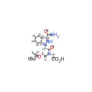 C[C@H](CO[Si](C)(C)C(C)(C)C)N(CC(=O)O)C(=O)CN1NC(C(N)=O)c2ccccc21